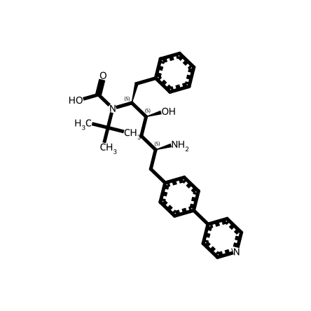 CC(C)(C)N(C(=O)O)[C@@H](Cc1ccccc1)[C@@H](O)C[C@@H](N)Cc1ccc(-c2ccncc2)cc1